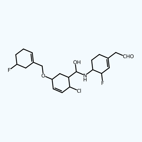 O=CCC1=CC(F)C(NC(O)C2CC(OCC3=CCCC(F)C3)C=CC2Cl)CC1